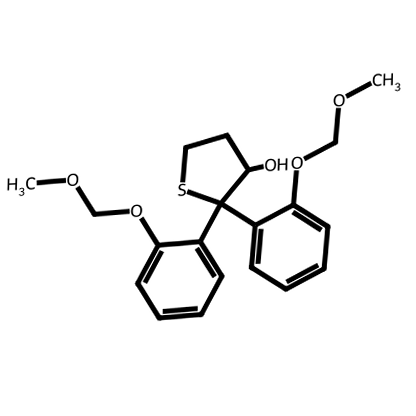 COCOc1ccccc1C1(c2ccccc2OCOC)SCCC1O